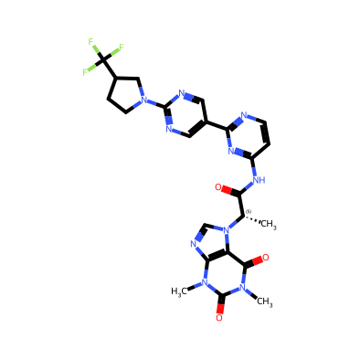 C[C@@H](C(=O)Nc1ccnc(-c2cnc(N3CCC(C(F)(F)F)C3)nc2)n1)n1cnc2c1c(=O)n(C)c(=O)n2C